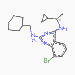 C[C@@H](Nc1nc(NCC2CCCCC2)nc2c(Br)cccc12)C1CC1